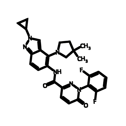 CC1(C)CCN(c2c(NC(=O)c3ccc(=O)n(-c4c(F)cccc4F)n3)ccc3nn(C4CC4)cc23)C1